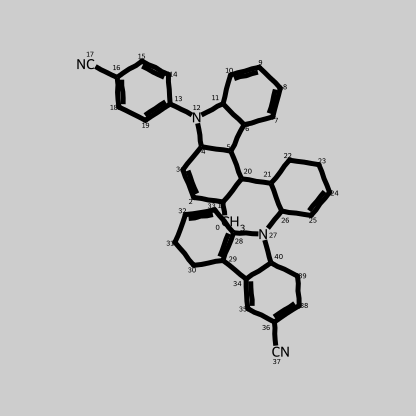 CC1C=CC2C(C3C=CC=CC3N2c2ccc(C#N)cc2)C1C1CCC=CC1N1C2=C(CCC=C2)C2=CC(C#N)=CCC21